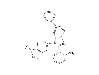 Nc1ncccc1-c1nc2ccc(-c3ccccc3)nc2n1-c1ccc(C2(N)CC2)cc1